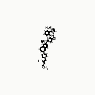 COC[C@@H](O)CN1CCN(C2CCCc3c(ccc(Nc4ncc(Cl)c(Nc5ccccc5-c5nccn5C)n4)c3OC)C2)CC1